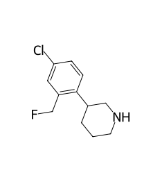 FCc1cc(Cl)ccc1C1CCCNC1